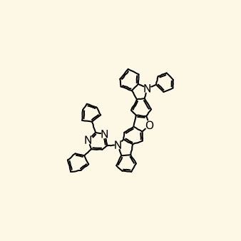 c1ccc(-c2cc(-n3c4ccccc4c4cc5oc6cc7c(cc6c5cc43)c3ccccc3n7-c3ccccc3)nc(-c3ccccc3)n2)cc1